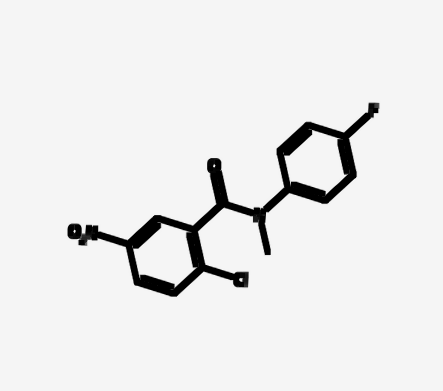 CN(C(=O)c1cc([N+](=O)[O-])ccc1Cl)c1ccc(F)cc1